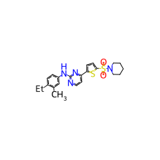 CCc1ccc(Nc2nccc(-c3ccc(S(=O)(=O)N4CCCCC4)s3)n2)cc1C